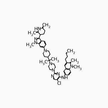 C=CCCC1=Cc2cc(Nc3nc(N4CCN(C(C)(C)C5CCN(c6ccc7c(C8CCC(=C)NC8=C)nn(C)c7c6)CC5)CC4)ncc3Cl)ccc2N(C)C1=C